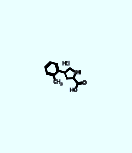 Cc1ccccc1C1CNC(C(=O)O)C1.Cl